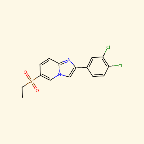 CCS(=O)(=O)c1ccc2nc(-c3ccc(Cl)c(Cl)c3)cn2c1